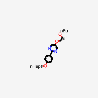 CCCCCCCOc1ccc(-c2ncc(OC[C@@H](C)OCCCC)cn2)cc1